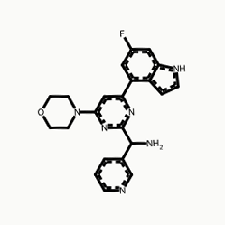 NC(c1cccnc1)c1nc(-c2cc(F)cc3[nH]ccc23)cc(N2CCOCC2)n1